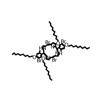 CCCCCCCCCCOc1cc(C)c(-c2c3nc(c(Br)c4ccc([nH]4)c(-c4c(C)cc(OCCCCCCCCCC)c(Br)c4OCCCCCCCCCC)c4nc(c(Br)c5ccc2[nH]5)C=C4)C=C3)c(OCCCCCCCCCC)c1Br